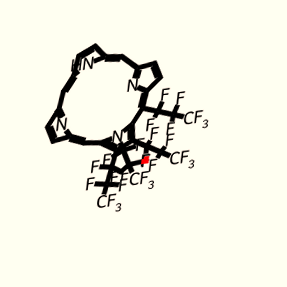 FC(F)(F)C(F)(F)C(F)(F)c1c(C(F)(F)C(F)(F)C(F)(F)F)c2c(C(F)(F)C(F)(F)C(F)(F)F)c3nc(cc4ccc(cc5nc(cc1n2C(F)(F)C(F)(F)C(F)(F)F)C=C5)[nH]4)C=C3